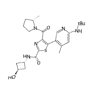 Cc1cc(NC(C)(C)C)ncc1-c1sc(C(=O)N[C@H]2C[C@H](O)C2)nc1C(=O)N1CCC[C@@H]1C